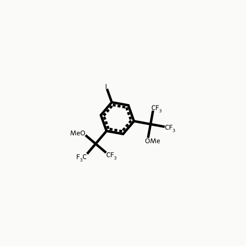 COC(c1cc(I)cc(C(OC)(C(F)(F)F)C(F)(F)F)c1)(C(F)(F)F)C(F)(F)F